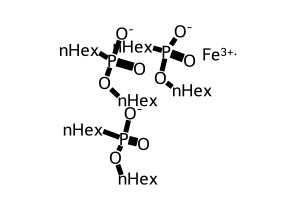 CCCCCCOP(=O)([O-])CCCCCC.CCCCCCOP(=O)([O-])CCCCCC.CCCCCCOP(=O)([O-])CCCCCC.[Fe+3]